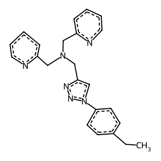 CCc1ccc(-n2cc(CN(Cc3ccccn3)Cc3ccccn3)nn2)cc1